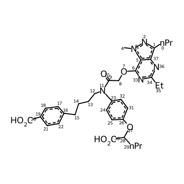 CCCc1nn(C)c2c(OCC(=O)N(CCCCc3ccc(C(=O)O)cc3)c3ccc(OC(CCC)C(=O)O)cc3)nc(CC)nc12